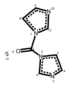 O=C(n1ccnc1)n1ccnc1.[S]